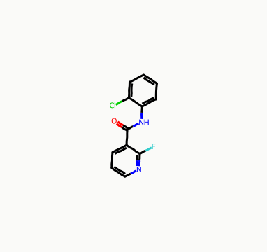 O=C(Nc1ccccc1Cl)c1cccnc1F